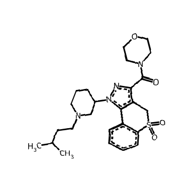 CC(C)CCN1CCCC(n2nc(C(=O)N3CCOCC3)c3c2-c2ccccc2S(=O)(=O)C3)C1